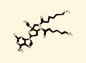 C#C[C@]1(COC(=O)CCCCCC)OC(n2cnc3c(N)nc(F)nc32)CC1OC(=O)CCCCCC